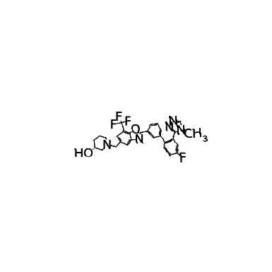 Cn1cnnc1-c1cc(F)ccc1-c1cccc(-c2nc3cc(CN4CCC[C@@H](O)C4)cc(C(F)(F)F)c3o2)c1